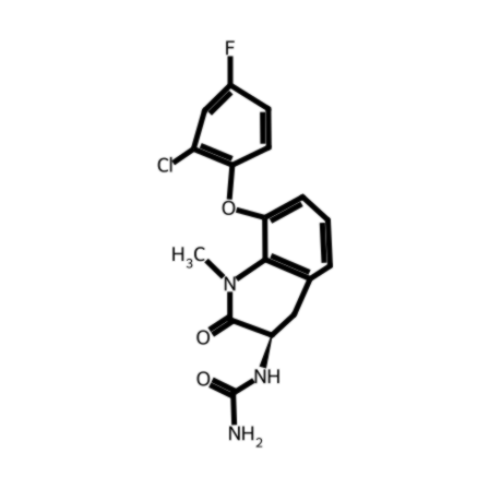 CN1C(=O)[C@H](NC(N)=O)Cc2cccc(Oc3ccc(F)cc3Cl)c21